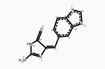 NC1=NC(=Cc2ccc3ncsc3c2)C(=O)N1